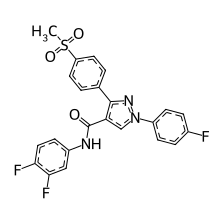 CS(=O)(=O)c1ccc(-c2nn(-c3ccc(F)cc3)cc2C(=O)Nc2ccc(F)c(F)c2)cc1